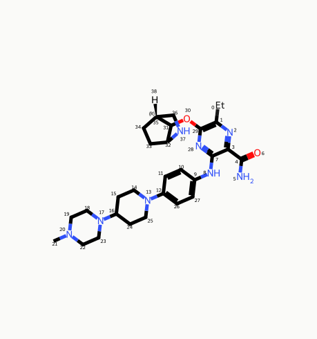 CCc1nc(C(N)=O)c(Nc2ccc(N3CCC(N4CCN(C)CC4)CC3)cc2)nc1OC1C2CC[C@@H]1CN2